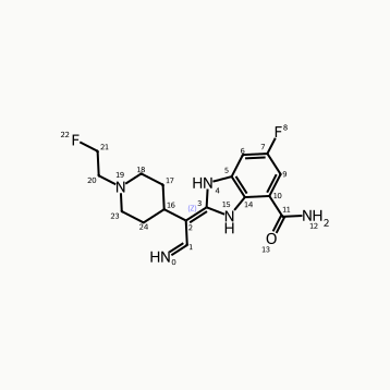 N=C/C(=C1/Nc2cc(F)cc(C(N)=O)c2N1)C1CCN(CCF)CC1